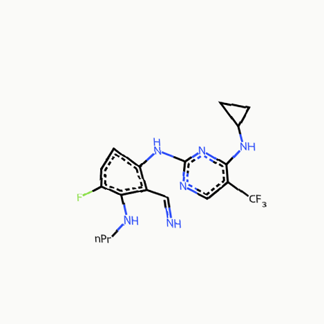 CCCNc1c(F)ccc(Nc2ncc(C(F)(F)F)c(NC3CC3)n2)c1C=N